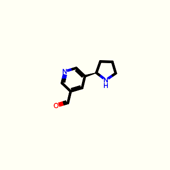 O=Cc1cncc([C@H]2CCCN2)c1